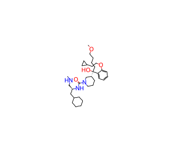 CNC[C@H](CC1CCCCC1)NC(=O)N1CCC[C@@H](C(O)(CCCCOC)c2ccccc2OCCC2CC2)C1